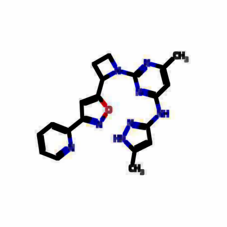 Cc1cc(Nc2cc(C)[nH]n2)nc(N2CCC2c2cc(-c3ccccn3)no2)n1